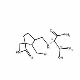 CC(C)CN1C(CN[C@H](C(N)=O)[C@@H](C)O)CCC12CNC2=O